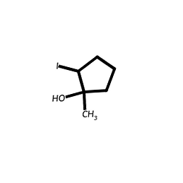 CC1(O)CCCC1I